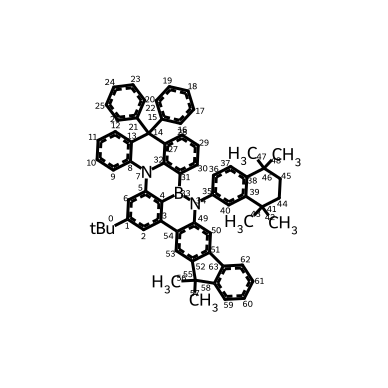 CC(C)(C)c1cc2c3c(c1)N1c4ccccc4C(c4ccccc4)(c4ccccc4)c4cccc(c41)B3N(c1ccc3c(c1)C(C)(C)CCC3(C)C)c1cc3c(cc1-2)C(C)(C)c1ccccc1-3